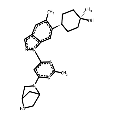 Cc1nc(N2CC3CC2CN3)cc(-n2ncc3cc(C)c([C@H]4CC[C@](C)(O)CC4)cc32)n1